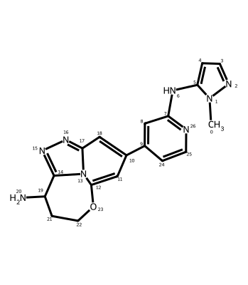 Cn1nccc1Nc1cc(-c2cc3n4c(nnc4c2)C(N)CCO3)ccn1